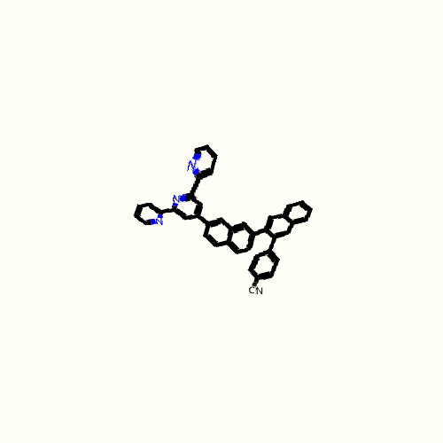 N#Cc1ccc(-c2cc3ccccc3cc2-c2ccc3ccc(-c4cc(-c5ccccn5)nc(-c5ccccn5)c4)cc3c2)cc1